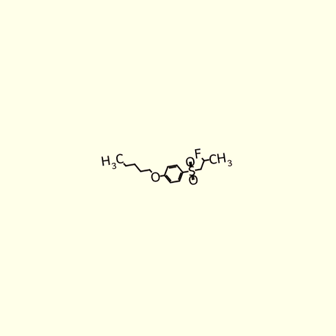 CCCCCOc1ccc(S(=O)(=O)CC(C)F)cc1